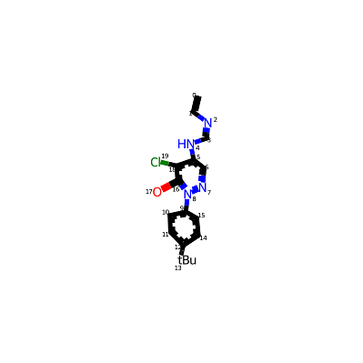 C=C/N=C\Nc1cnn(-c2ccc(C(C)(C)C)cc2)c(=O)c1Cl